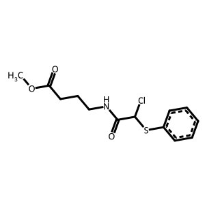 COC(=O)CCCNC(=O)C(Cl)Sc1ccccc1